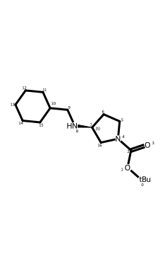 CC(C)(C)OC(=O)N1CC[C@H](NCC2CCCCC2)C1